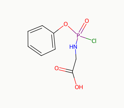 O=C(O)CNP(=O)(Cl)Oc1ccccc1